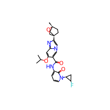 CC(C)Oc1cc2nc([C@]34CC[C@](C)(C3)OC4)cn2cc1C(=O)Nc1cccn([C@H]2C[C@H]2F)c1=O